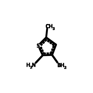 Bc1cc(C)sc1N